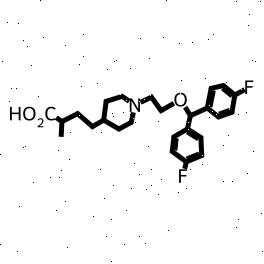 CC(CCC1CCN(CCOC(c2ccc(F)cc2)c2ccc(F)cc2)CC1)C(=O)O